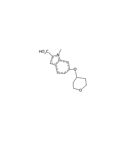 Cn1c(C(=O)O)cc2ccc(OC3CCOCC3)cc21